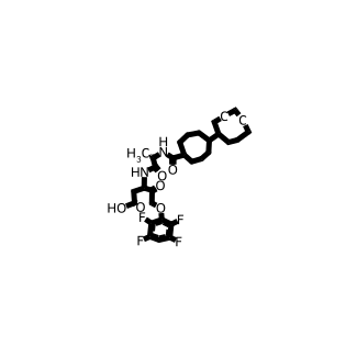 C[C@H](NC(=O)C1CCCC(C2CCCCCCC2)CCC1)C(=O)NC(CC(=O)O)C(=O)COc1c(F)c(F)cc(F)c1F